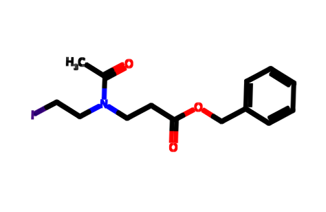 CC(=O)N(CCI)CCC(=O)OCc1ccccc1